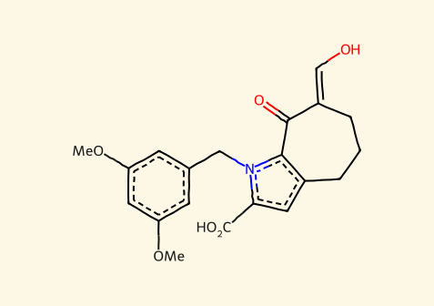 COc1cc(Cn2c(C(=O)O)cc3c2C(=O)/C(=C/O)CCC3)cc(OC)c1